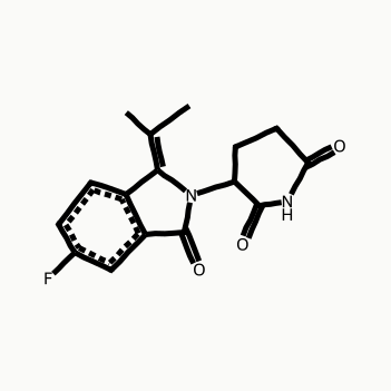 CC(C)=C1c2ccc(F)cc2C(=O)N1C1CCC(=O)NC1=O